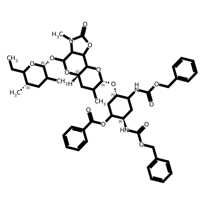 CCC1O[C@H](OC2O[C@H]3CC(C)[C@@H](O[C@H]4CC(OC(=O)c5ccccc5)[C@H](NC(=O)OCc5ccccc5)CC4NC(=O)OCc4ccccc4)OC3C3OC(=O)N(C)C23)C(C)C[C@@H]1C